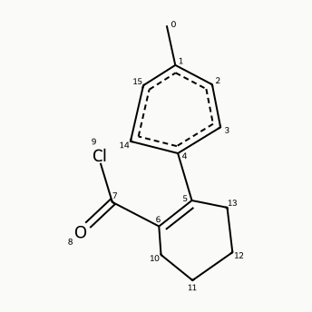 Cc1ccc(C2=C(C(=O)Cl)CCCC2)cc1